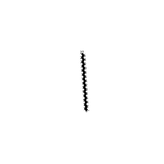 [CH]=CC=CCCCCCCCCCCCCCCCCCCCCCCCC